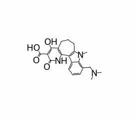 CN(C)Cc1cccc2c3c(n(C)c12)CCCc1c-3[nH]c(=O)c(C(=O)O)c1O